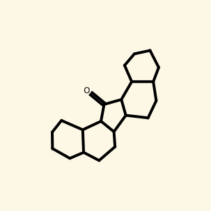 O=C1C2C3CCCCC3CCC2C2CCC3CCCCC3C12